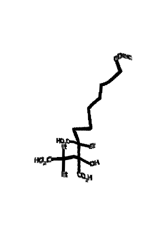 CCCCCCCCCCCCCCCCC(CC)(C(=O)O)C(O)(C(=O)O)C(CC)(CC)C(=O)O